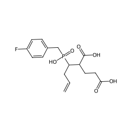 C=CCC(C(CCC(=O)O)C(=O)O)P(=O)(O)Cc1ccc(F)cc1